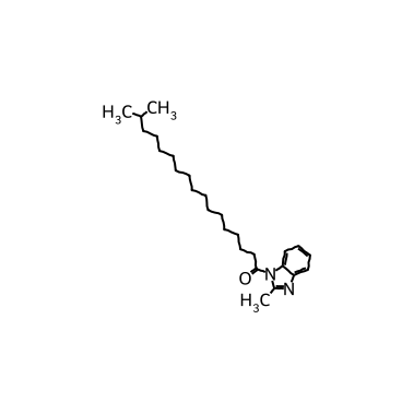 Cc1nc2ccccc2n1C(=O)CCCCCCCCCCCCCCC(C)C